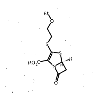 CCOCCSC1=C(C(=O)O)N2C(=O)C[C@@H]2S1